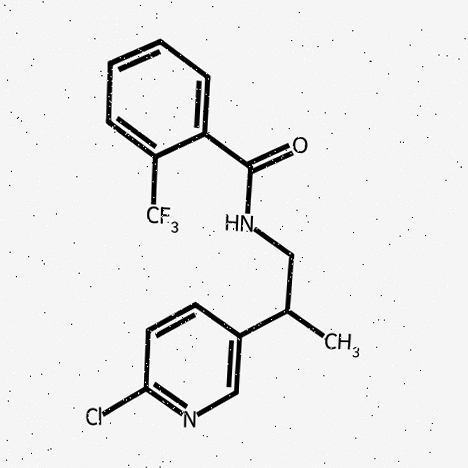 CC(CNC(=O)c1ccccc1C(F)(F)F)c1ccc(Cl)nc1